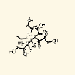 CCC[C@]1([C@@](OC(=O)CO)(C(=O)CO)C(=O)C(=O)CO)OO[C@@]1(O)C(O)CO